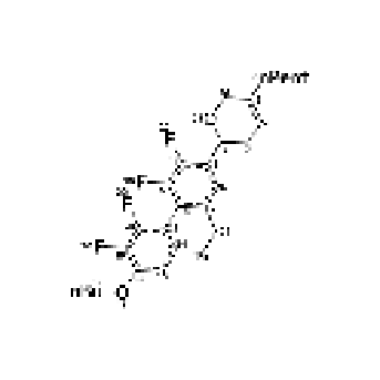 CCCCCC1=CCC(c2cc3c(c(F)c2F)-c2c(cc(OCCCC)c(F)c2F)CC3)OC1